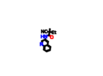 CCC(C)(C#N)C(=O)Nc1cnc2ccccc2c1